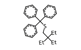 CCC(CC)(CC)CSC(c1ccccc1)(c1ccccc1)c1ccccc1